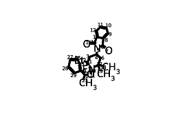 CCC1(CC)CC(N2C(=O)c3ccccc3C2=O)CC(C)(C)N1OC(C)c1ccccc1